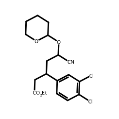 CCOC(=O)CC(CC(C#N)OC1CCCCO1)c1ccc(Cl)c(Cl)c1